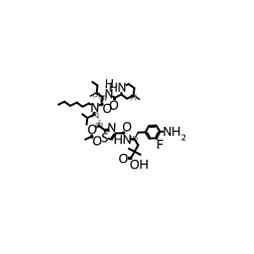 CCCCCCN(C(=O)[C@@H](NC(=O)C1C[C@H](C)CCN1)[C@@H](C)CC)[C@H](C[C@@H](OC(C)=O)c1nc(C(=O)N[C@@H](Cc2ccc(N)c(F)c2)CC(C)(C)C(=O)O)cs1)C(C)C